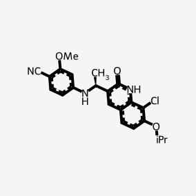 COc1cc(N[C@@H](C)c2cc3ccc(OC(C)C)c(Cl)c3[nH]c2=O)ccc1C#N